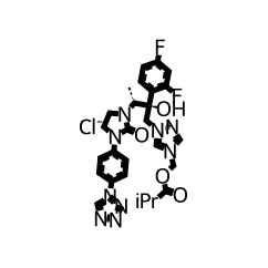 CC(C)C(=O)OCn1cn[n+](C[C@](O)(c2ccc(F)cc2F)[C@@H](C)N2CCN(c3ccc(-n4cnnn4)cc3)C2=O)c1.[Cl-]